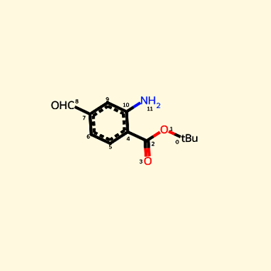 CC(C)(C)OC(=O)c1ccc(C=O)cc1N